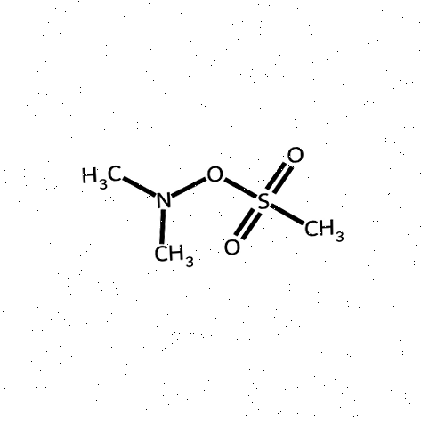 CN(C)OS(C)(=O)=O